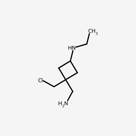 CCNC1CC(CN)(CCl)C1